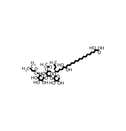 CCCC[C@@H](CCC[C@H](O)[C@H](O)CCCCCCCCCCCCCC[C@H](O)C(=O)O)OC1OC[C@H](O)[C@@H](O)[C@@H]1O[C@H]1OC[C@H](OC(C)=O)[C@@H](O)[C@@H]1O[C@H]1O[C@@H](COC(=O)CC(C)C)[C@H](O)[C@@H](O)[C@@H]1O